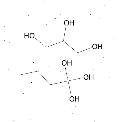 CCCC(O)(O)O.OCC(O)CO